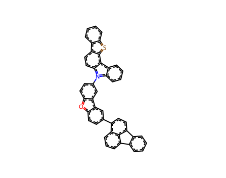 c1ccc2c(c1)-c1cccc3c(-c4ccc5oc6ccc(-n7c8ccccc8c8c9sc%10ccccc%10c9ccc87)cc6c5c4)ccc-2c13